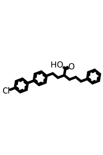 O=C(O)C(CCCc1ccccc1)CCc1ccc(-c2ccc(Cl)cc2)cc1